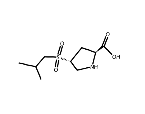 CC(C)CS(=O)(=O)[C@H]1CN[C@H](C(=O)O)C1